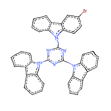 Brc1ccc2c(c1)c1ccccc1n2-c1nc(-n2c3ccccc3c3ccccc32)nc(-n2c3ccccc3c3ccccc32)n1